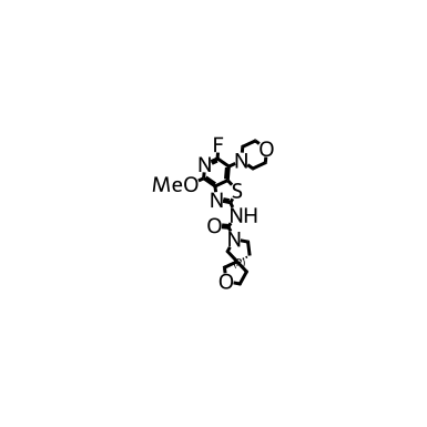 COc1nc(F)c(N2CCOCC2)c2sc(NC(=O)N3CC[C@@]4(CCOC4)C3)nc12